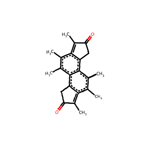 CC1=c2c(C)c(C)c3c4c(c(C)c(C)c3c2CC1=O)=C(C)C(=O)C4